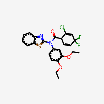 CCOc1ccc(N(C(=O)C2C=CC(F)(F)C=C2Cl)c2nc3ccccc3s2)cc1OCC